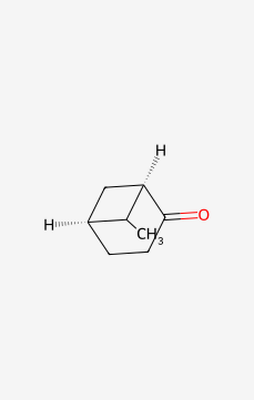 CC1[C@H]2CCC(=O)[C@@H]1C2